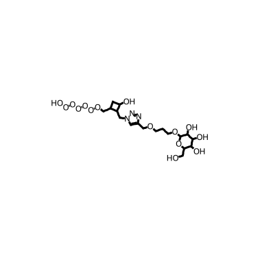 OCC1OC(OCCCOCc2cn(CC3C(O)CC3COOOOOOO)nn2)C(O)C(O)C1O